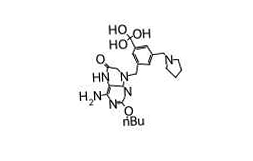 CCCCOc1nc(N)c2c(n1)N(Cc1cc(CN3CCCC3)cc(C(O)(O)O)c1)CC(=O)N2